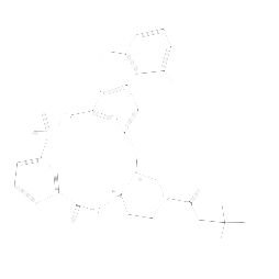 Cc1cccc(C)c1-c1cc2nc(n1)NS(=O)(=O)c1cccc(c1)C(=O)N[C@@H]1CCN(C(=O)CC(C)(C)C)C[C@@H]1O2